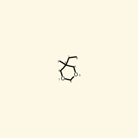 CCC1(C)COCOC1